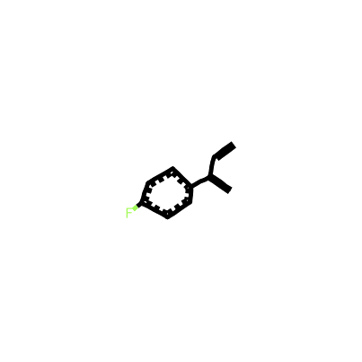 C=CC(=C)c1ccc(F)cc1